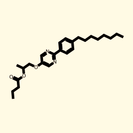 CCCCCCCCc1ccc(-c2ncc(OCC(C)OC(=O)CCC)cn2)cc1